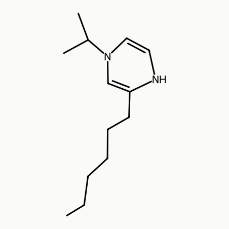 CCCCCCC1=CN(C(C)C)C=CN1